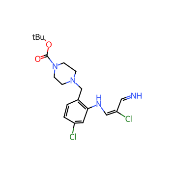 CC(C)(C)OC(=O)N1CCN(Cc2ccc(Cl)cc2N/C=C(/Cl)C=N)CC1